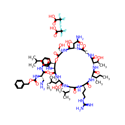 CC[C@H](C)[C@@H]1NC(=O)[C@@H](CCCNC(=N)N)NC(=O)[C@H](CC(C)C)NC(=O)[C@H]([C@H](O)C(C)C)NC(=O)[C@@H](NC(=O)[C@H](CC(C)C)NC(=O)[C@H](CN)NC(=O)OCc2ccccc2)[C@@H](c2ccccc2)OC(=O)[C@H](CO)NC(=O)[C@H]([C@H](O)C(N)=O)NC(=O)CNC(=O)[C@H]([C@H](C)O)NC1=O.O=C(O)C(F)(F)F.O=C(O)C(F)(F)F